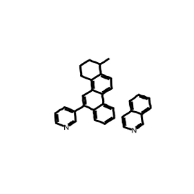 CC1CCCc2c1ccc1c2cc(-c2cccnc2)c2ccccc21.c1ccc2cnccc2c1